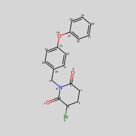 O=C1CCC(Br)C(=O)N1Cc1ccc(Oc2ccccc2)cc1